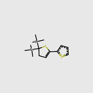 [CH3][Sn]([CH3])([CH3])[C]1([Sn]([CH3])([CH3])[CH3])CC=C(c2cccs2)S1